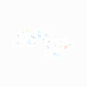 COc1cccc(F)c1-c1nccc(Nc2cc(N3CCC[C@H](N)C3)c(-c3cc(C)c(OC(C)C)c(C)c3)cn2)n1